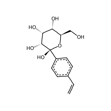 C=Cc1ccc([C@@]2(O)O[C@H](CO)[C@@H](O)[C@@H](O)[C@H]2O)cc1